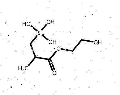 CC(C[Si](O)(O)O)C(=O)OCCO